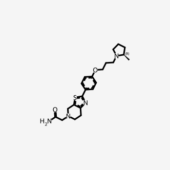 C[C@@H]1CCCN1CCCOc1ccc(-c2nc3c(s2)CN(CC(N)=O)CC3)cc1